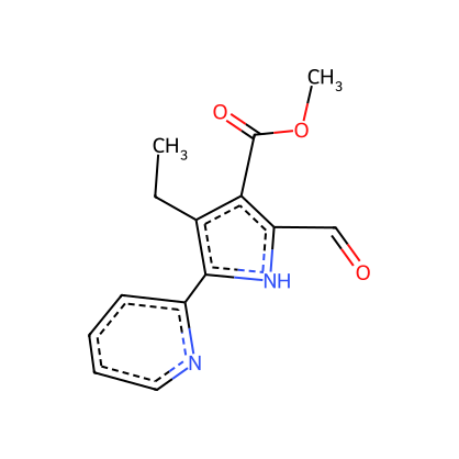 CCc1c(-c2ccccn2)[nH]c(C=O)c1C(=O)OC